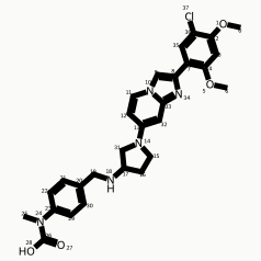 COc1cc(OC)c(-c2cn3ccc(N4CCC(NCc5ccc(N(C)C(=O)O)cc5)C4)cc3n2)cc1Cl